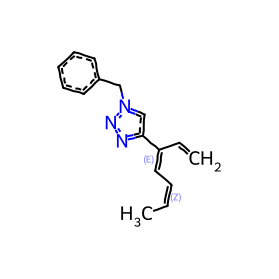 C=C/C(=C\C=C/C)c1cn(Cc2ccccc2)nn1